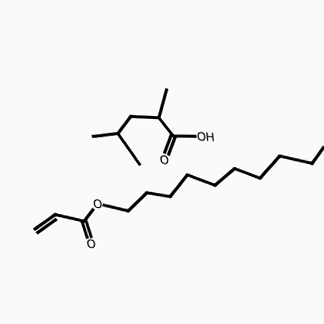 C=CC(=O)OCCCCCCCCCC.CC(C)CC(C)C(=O)O